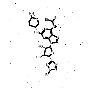 CCC(CC)Nc1nc(N[C@H]2CC[C@H](N)CC2)nc2c1ncn2[C@@H]1O[C@H](c2nnn(C(C)C)n2)[C@@H](O)[C@H]1O